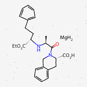 CCOC(=O)[C@H](CCc1ccccc1)N[C@@H](C)C(=O)N1Cc2ccccc2C[C@H]1C(=O)O.[MgH2]